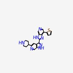 c1csc(-c2cncc3[nH]c(-c4n[nH]c5cnc(C6CCNCC6)cc45)nc23)c1